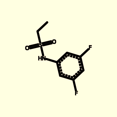 CCS(=O)(=O)Nc1cc(F)cc(F)c1